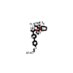 COCCOc1ccc(-c2ccc(-c3cnn4c(N)c(S(C)(=O)=O)c(C5CC6CCC(C5)N6C(=O)c5nnc[nH]5)nc34)cn2)cc1